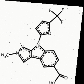 Cn1cc2c3cc(C(=O)O)ccc3n(-c3ccc(C(F)(F)F)o3)c2n1